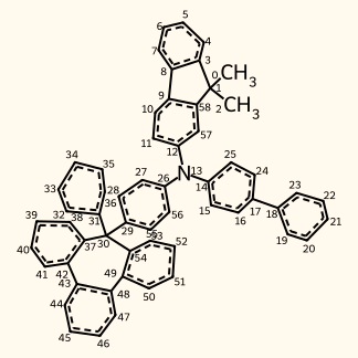 CC1(C)c2ccccc2-c2ccc(N(c3ccc(-c4ccccc4)cc3)c3ccc(C4(c5ccccc5)c5ccccc5-c5ccccc5-c5ccccc54)cc3)cc21